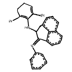 CC(C)C1=CCCC(C(C)C)=C1NC1/C(=N/c2ccccc2)c2cccc3cccc1c23